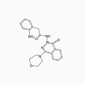 O=C(Cc1ccccc1[N+](=O)[O-])Nn1nc(N2CCOCC2)c2ccccc2c1=O